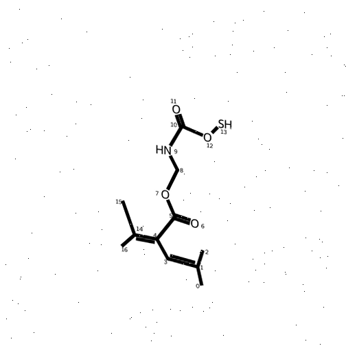 CC(C)=CC(C(=O)OCNC(=O)OS)=C(C)C